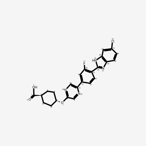 O=C(O)[C@H]1CC[C@H](Oc2cnc(-c3ccc(-c4nc5ccc(Cl)cc5[nH]4)c(F)c3)cn2)CC1